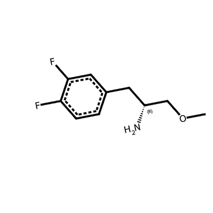 COC[C@H](N)Cc1ccc(F)c(F)c1